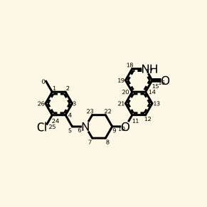 Cc1ccc(CN2CCC(Oc3ccc4c(=O)[nH]ccc4c3)CC2)c(Cl)c1